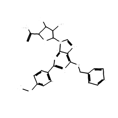 CNC(=O)C1OC(n2cnc3c(NCc4ccccc4)nc(-c4ccc(OC(F)(F)F)cc4)nc32)C(O)C1O